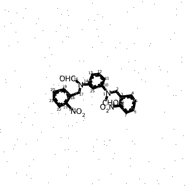 O=CN(Cc1ccccc1[N+](=O)[O-])c1cccc(N(C=O)Cc2ccccc2[N+](=O)[O-])c1